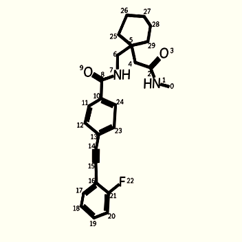 CNC(=O)CC1(CNC(=O)c2ccc(C#Cc3ccccc3F)cc2)CCCCC1